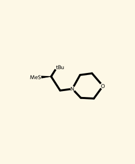 CS[C@H](CN1CCOCC1)C(C)(C)C